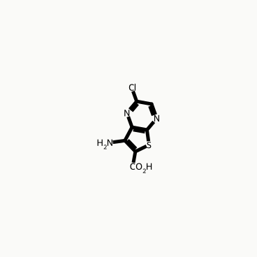 Nc1c(C(=O)O)sc2ncc(Cl)nc12